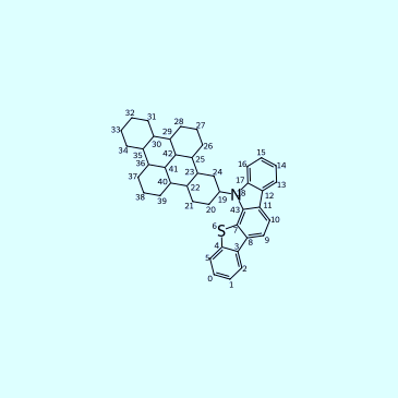 c1ccc2c(c1)sc1c2ccc2c3ccccc3n(C3CCC4C(C3)C3CCCC5C6CCCCC6C6CCCC4C6C53)c21